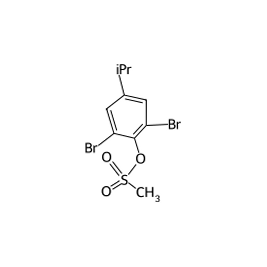 CC(C)c1cc(Br)c(OS(C)(=O)=O)c(Br)c1